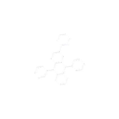 c1ccc(-c2c3ccccc3c(-c3ccccc3)c3cc(-c4ncccn4)ccc23)cc1